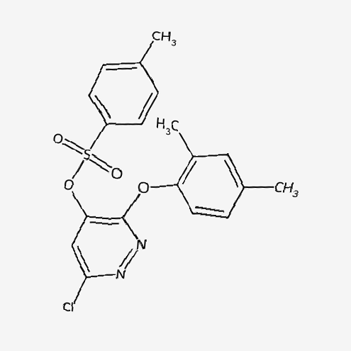 Cc1ccc(S(=O)(=O)Oc2cc(Cl)nnc2Oc2ccc(C)cc2C)cc1